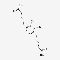 CC(C)(C)C(=O)CCCCc1ccc(CCCCC(=O)C(C)(C)C)c(C#N)c1C#N